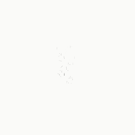 CC(C)Oc1ncc(F)cc1[C@@H](C)Nc1ccn2ncc(C3=NOC(C)(C)N3)c2n1